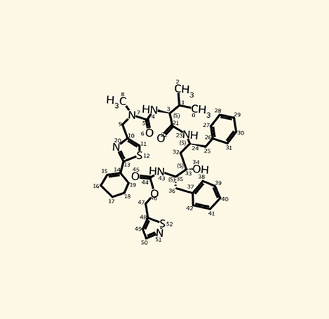 CC(C)[C@H](NC(=O)N(C)Cc1csc(C2=CCCCC2)n1)C(=O)N[C@@H](Cc1ccccc1)C[C@H](O)[C@H](Cc1ccccc1)NC(=O)OCc1ccns1